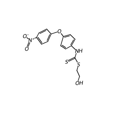 O=[N+]([O-])c1ccc(Oc2ccc(NC(=S)SCCO)cc2)cc1